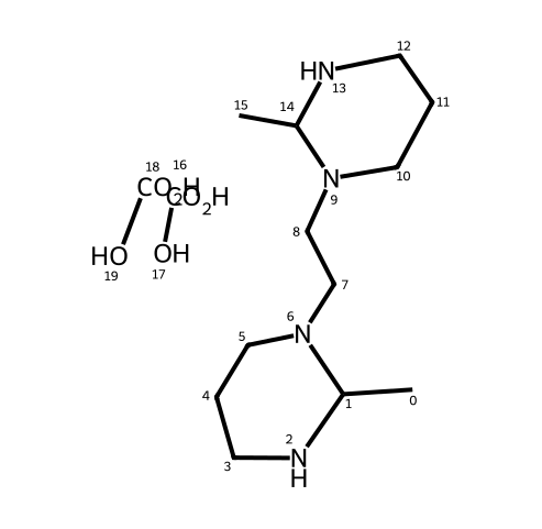 CC1NCCCN1CCN1CCCNC1C.O=C(O)O.O=C(O)O